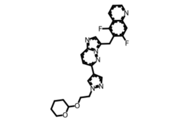 Fc1cc2ncccc2c(F)c1Cc1cnc2ccc(-c3cnn(CCOC4CCCCO4)c3)nn12